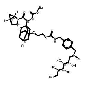 CCN(Cc1ccc(CNC(=O)OCCOC23CC4C[C@H](C2)CC([C@H](NC(=O)OC(C)(C)C)C(=O)N2[C@H](C#N)C[C@@H]5C[C@@H]52)(C4)C3)cc1)C[C@H](O)[C@@H](O)[C@H](O)[C@H](O)CO